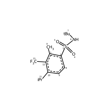 Cc1c(S(=O)(=O)NC(C)(C)C)ccc(C(C)C)c1C(F)(F)F